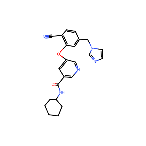 N#Cc1ccc(Cn2ccnc2)cc1Oc1cncc(C(=O)NC2CCCCC2)c1